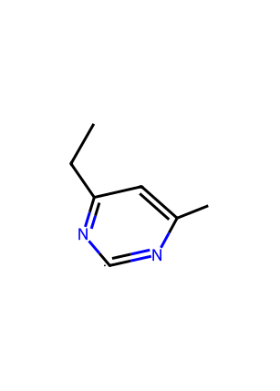 CCc1cc(C)n[c]n1